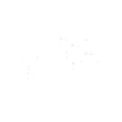 CC(C#Cc1ncn2c1CN(C)C(=O)c1c(Cl)cccc1-2)OC(=O)C(C)(C)C